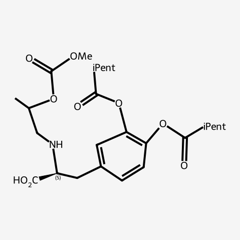 CCCC(C)C(=O)Oc1ccc(C[C@H](NCC(C)OC(=O)OC)C(=O)O)cc1OC(=O)C(C)CCC